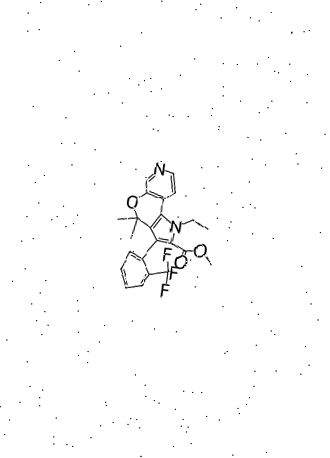 CCn1c(C(=O)OC)c(-c2ccccc2C(F)(F)F)c2c1-c1ccncc1OC2(C)C